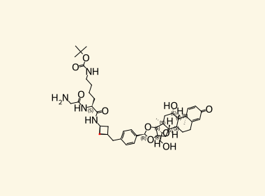 CC(C)(C)OC(=O)NCCCC[C@H](NC(=O)CN)C(=O)NC12CC(Cc3ccc([C@@H]4O[C@@H]5C[C@H]6[C@@H]7CCC8=CC(=O)C=C[C@]8(C)[C@H]7[C@@H](O)C[C@]6(C)[C@]5(C(=O)CO)O4)cc3)(C1)C2